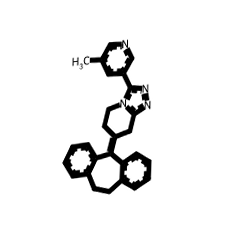 Cc1cncc(-c2nnc3n2CCC(=C2c4ccccc4CCc4ccccc42)C3)c1